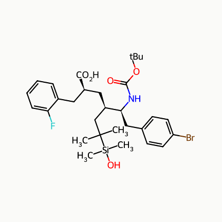 CC(C)(C)OC(=O)N[C@@H](Cc1ccc(Br)cc1)[C@H](C[C@@H](Cc1ccccc1F)C(=O)O)CC(C)(C)[Si](C)(C)O